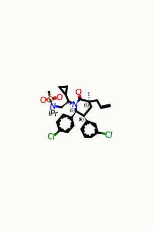 C=CC[C@@]1(C)C[C@H](c2cccc(Cl)c2)[C@@H](c2ccc(Cl)cc2)N([C@@H](CN(C(C)C)S(C)(=O)=O)C2CC2)C1=O